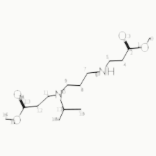 COC(=O)CCNCCCN(CCC(=O)OC)C(C)C